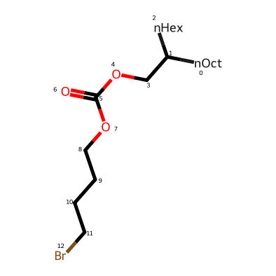 CCCCCCCCC(CCCCCC)COC(=O)OCCCCBr